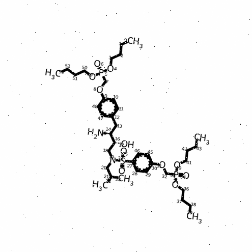 CCCCOP(=O)(COc1ccc(C[C@H](N)[C@H](O)CN(CC(C)C)S(=O)(=O)c2ccc(OCP(=O)(OCCCC)OCCCC)cc2)cc1)OCCCC